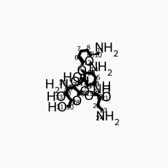 CC1(O)C(OC2=CCC[C@@H](CN)O2)[C@@H](N)C[C@@H](NC(=O)[C@@H](O)CCN)[C@@H]1O[C@H]1OC(CO)[C@@H](O)[C@H](N)C1O